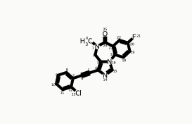 CN1Cc2c(C#Cc3ccccc3Cl)ncn2-c2ccc(F)cc2C1=O